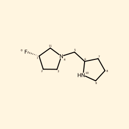 F[C@H]1CCN(CC2CCCN2)C1